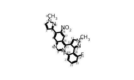 Cn1ccc(-c2cc3ncnc(-c4cn(C)nc4-c4c(F)cccc4F)c3cc2[N+](=O)[O-])n1